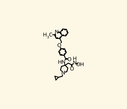 Cc1cc(COc2ccc(C(=O)NC3(CC(=O)NO)CCN(CC4CC4)CC3)cc2)c2ccccc2n1